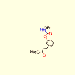 CCCNC(=O)Oc1cccc(CCC(=O)OC)c1